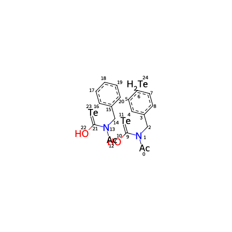 CC(=O)N(Cc1ccccc1)C(O)=[Te].CC(=O)N(Cc1ccccc1)C(O)=[Te].[TeH2]